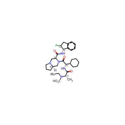 C[C@@H](C(=O)N[C@H](C(=O)N1C[C@H]2CCCN2C[C@H]1C(=O)N[C@H]1c2ccccc2C[C@@H]1F)C1CCCCC1)N(CC(C)(C)C)C(=O)O